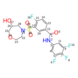 O=C(Nc1cc(F)c(F)c(F)c1)c1ccc(F)c(S(=O)(=O)N2CCOCC(O)C2)c1